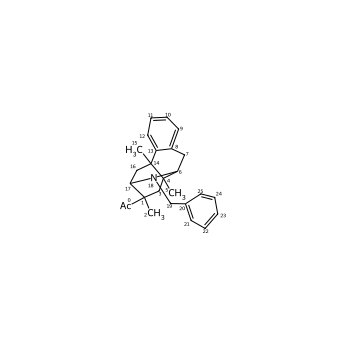 CC(=O)C1(C)CC2(C)C3Cc4ccccc4C2(C)CC1N3Cc1ccccc1